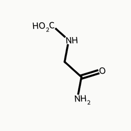 NC(=O)CNC(=O)O